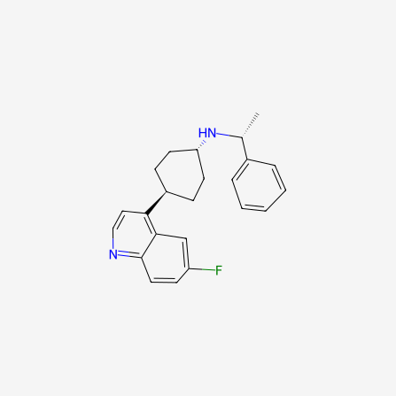 C[C@@H](N[C@H]1CC[C@H](c2ccnc3ccc(F)cc32)CC1)c1ccccc1